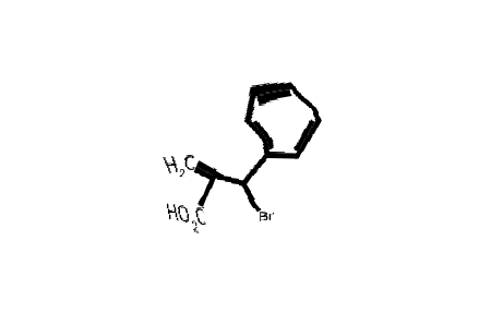 C=C(C(=O)O)C(Br)c1ccccc1